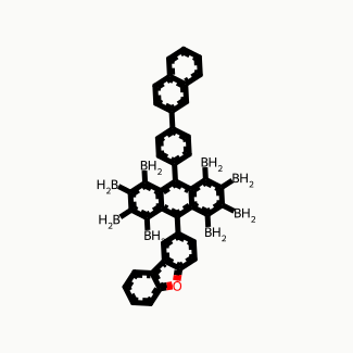 Bc1c(B)c(B)c2c(-c3ccc4oc5ccccc5c4c3)c3c(B)c(B)c(B)c(B)c3c(-c3ccc(-c4ccc5ccccc5c4)cc3)c2c1B